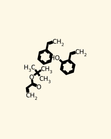 C=CC(=O)OC(C)(C)C.C=Cc1ccccc1.C=Cc1ccccc1O